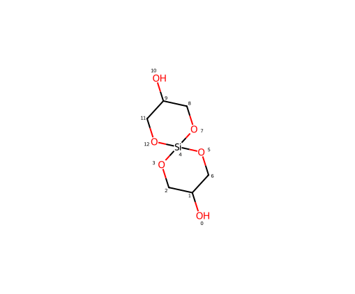 OC1CO[Si]2(OC1)OCC(O)CO2